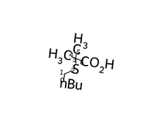 CCCCCSC(C)(C)C(=O)O